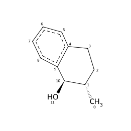 C[C@H]1CCc2ccccc2[C@@H]1O